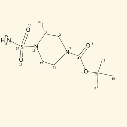 C[C@@H]1CN(C(=O)OC(C)(C)C)CCN1S(N)(=O)=O